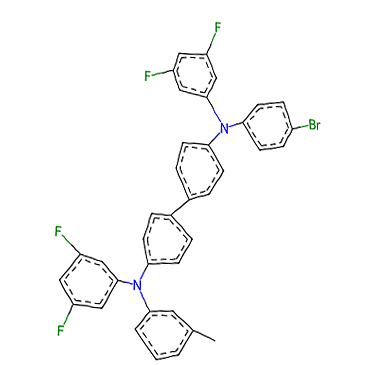 Cc1cccc(N(c2ccc(-c3ccc(N(c4ccc(Br)cc4)c4cc(F)cc(F)c4)cc3)cc2)c2cc(F)cc(F)c2)c1